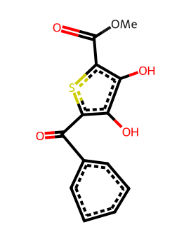 COC(=O)c1sc(C(=O)c2ccccc2)c(O)c1O